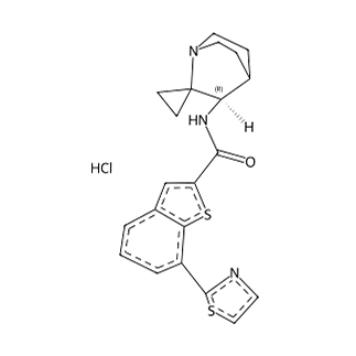 Cl.O=C(N[C@@H]1C2CCN(CC2)C12CC2)c1cc2cccc(-c3nccs3)c2s1